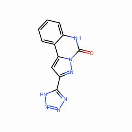 O=c1[nH]c2ccccc2c2cc(-c3nnn[nH]3)nn12